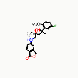 COc1ccc(F)cc1C(C)(C)CC(O)(CNc1ccc2c(c1)COC2=O)C(F)(F)F